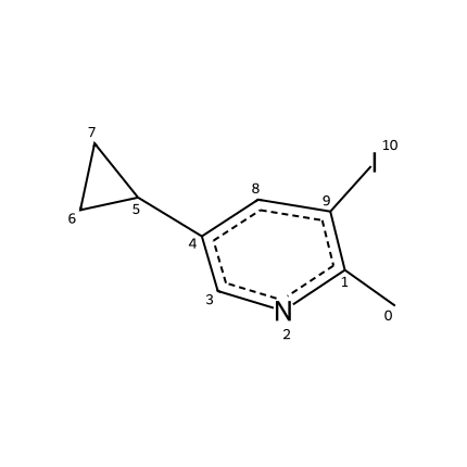 Cc1ncc(C2CC2)cc1I